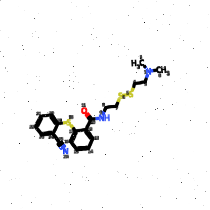 CN(C)CCSSCCNC(=O)c1ccccc1Sc1ccccc1C#N